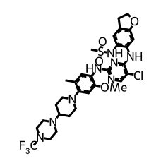 COc1cc(N2CCC(N3CCN(C(F)(F)F)CC3)CC2)c(C)cc1Nc1ncc(Cl)c(Nc2cc3c(cc2NS(C)(=O)=O)CCO3)n1